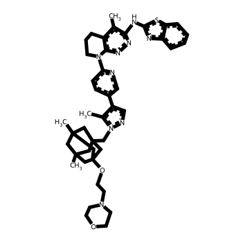 Cc1c(Nc2nc3ccccc3s2)nnc2c1CCCN2c1ccc(-c2cnn(CC34CC5(C)CC(C)(C3)CC(OCCN3CCOCC3)(C5)C4)c2C)cn1